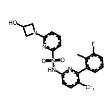 Cc1c(F)cccc1-c1nc(NS(=O)(=O)c2cccc(N3CC(O)C3)n2)ccc1C(F)(F)F